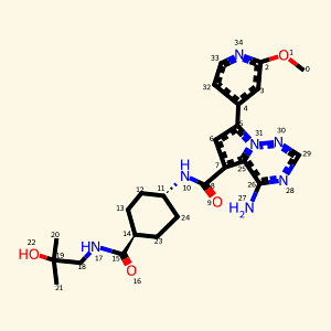 COc1cc(-c2cc(C(=O)N[C@H]3CC[C@H](C(=O)NCC(C)(C)O)CC3)c3c(N)ncnn23)ccn1